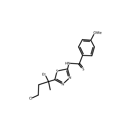 CCC(C)(CCCl)c1nnc(NC(=S)c2ccc(OC)cc2)s1